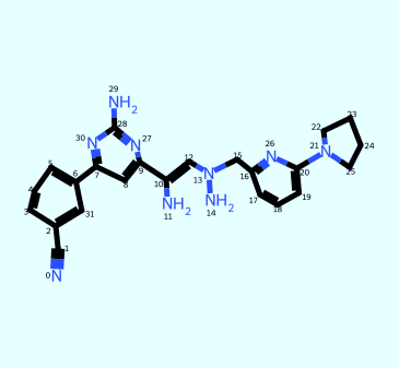 N#Cc1cccc(-c2cc(/C(N)=C/N(N)Cc3cccc(N4CCCC4)n3)nc(N)n2)c1